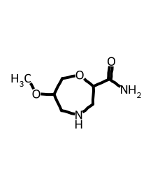 COC1CNCC(C(N)=O)OC1